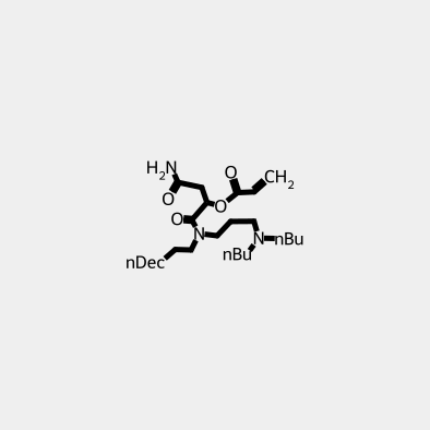 C=CC(=O)OC(CC(N)=O)C(=O)N(CCCCCCCCCCCC)CCCN(CCCC)CCCC